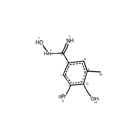 CCCc1cc(C(=N)NO)cc(C)c1O